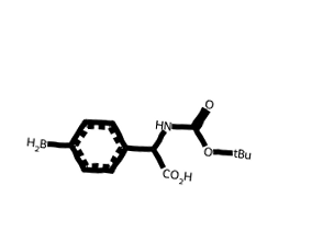 Bc1ccc(C(NC(=O)OC(C)(C)C)C(=O)O)cc1